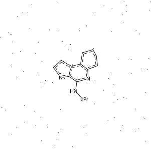 CC(C)Nc1nc2ccccc2n2ccnc12